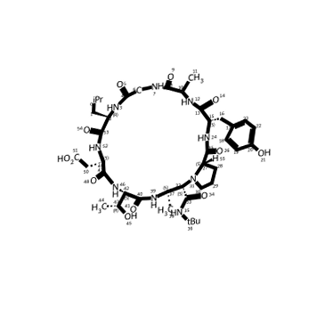 CC(C)C[C@H]1NC(=O)CNC(=O)C(C)NC(=O)[C@H](Cc2ccc(O)cc2)NC(=O)[C@@H]2CCCN2[C@H](C(=O)NC(C)(C)C)[C@H](C)NC(=O)[C@H]([C@@H](C)O)NC(=O)[C@H](CC(=O)O)NC1=O